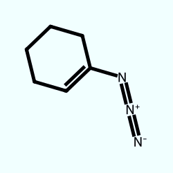 [N-]=[N+]=NC1=CCCCC1